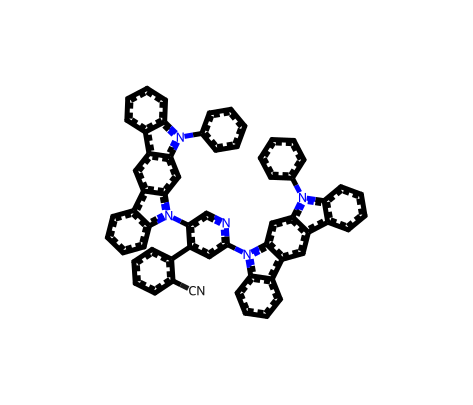 N#Cc1ccccc1-c1cc(-n2c3ccccc3c3cc4c5ccccc5n(-c5ccccc5)c4cc32)ncc1-n1c2ccccc2c2cc3c4ccccc4n(-c4ccccc4)c3cc21